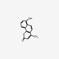 Cc1cc(=O)oc2c1ccc1c(O)cccc12